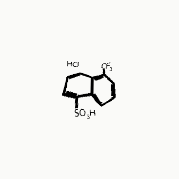 Cl.O=S(=O)(O)c1cccc2c(C(F)(F)F)cccc12